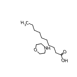 C1COCCN1.CCCCCCCCCC(=O)O